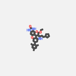 CCOC(=O)C1=C(CCC2CCCC2)NC2=C(C(=O)CC(c3c(C)cc(C)cc3C)C2)C1c1ccc2[nH]c(=O)[nH]c2c1